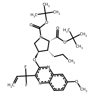 C=CC(F)(F)c1nc2ccc(OC)cc2nc1O[C@H]1CN(C(=O)OC(C)(C)C)[C@H](C(=O)OC(C)(C)C)[C@@H]1CCC